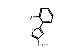 CCOC(=O)c1cc(-c2ccccc2C(F)(F)F)on1